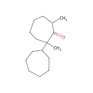 CC1CCCCC(C)(C2CCCCCC2)C1=O